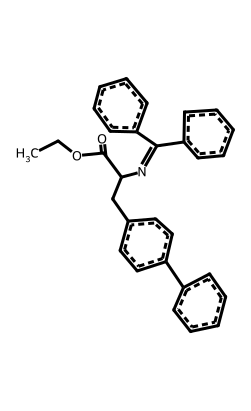 CCOC(=O)C(Cc1ccc(-c2ccccc2)cc1)N=C(c1ccccc1)c1ccccc1